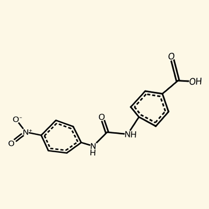 O=C(Nc1ccc(C(=O)O)cc1)Nc1ccc([N+](=O)[O-])cc1